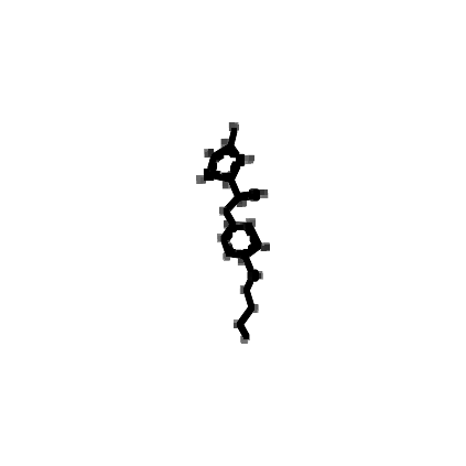 CCCCOc1ccc(CC(=O)c2ncc(C)s2)cc1